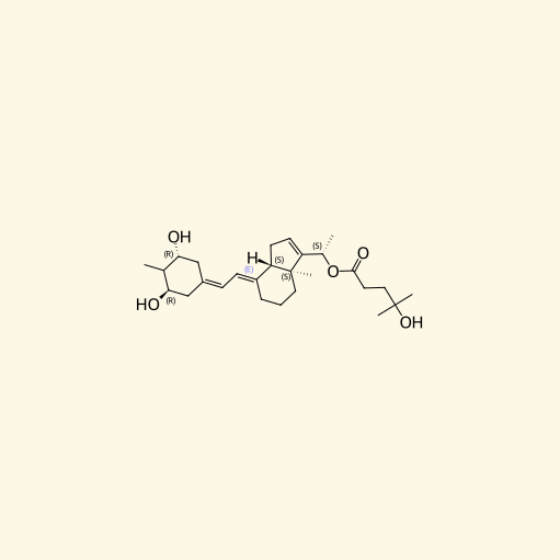 CC1[C@H](O)CC(=C/C=C2\CCC[C@]3(C)C([C@H](C)OC(=O)CCC(C)(C)O)=CC[C@@H]23)C[C@H]1O